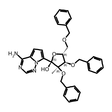 C[C@@]1(OCc2ccccc2)[C@H](OCc2ccccc2)[C@@H](COCc2ccccc2)O[C@@]1(O)c1ccc2c(N)ncnn12